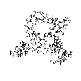 Cc1cccc([S+](c2ccc(Cc3ccc([I+]c4ccc(Cc5ccc([S+](c6cccc(C)c6C)c6cccc(C)c6C)cc5)cc4)cc3)cc2)c2cccc(C)c2C)c1C.O=S(=O)([O-])C(F)(F)C(F)(F)C(F)(F)C(F)(F)F.O=S(=O)([O-])C(F)(F)C(F)(F)C(F)(F)C(F)(F)F.O=S(=O)([O-])C(F)(F)C(F)(F)C(F)(F)C(F)(F)F